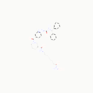 O=C(CCCCCCNC(=O)[C@H]1CCCN(C(=O)c2ccc(NC(=O)NC(c3ccccc3)c3ccccc3)c(F)c2)C1)NO